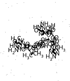 CO[C@@H]1[C@H](P(=O)([O-])OC[C@H]2O[C@@H](n3cnc4c(=O)[nH]c(N)nc43)[C@H](O)[C@@H]2O)[C@@H](CCOP(=O)(O)OP(=O)(O)OP(=O)(O)OC[C@H]2O[C@@H](n3c[n+](C)c4c(=O)[nH]c(N)nc43)[C@H](O)[C@@H]2COC(C)C)O[C@H]1n1cnc2c(N)ncnc21